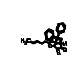 CCCCCCS[C@]12C(=O)NC(=O)[C@H]1CC2(c1ccccc1)c1ccccc1